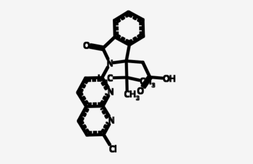 CC(C)(C)C1(CC(=O)O)c2ccccc2C(=O)N1c1ccc2ccc(Cl)nc2n1